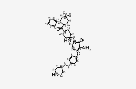 Nc1c(Oc2ccc(CCC3CCNCC3)cc2)ncn(CC2(O)CCN(C(=O)[C@@H]3CCC(F)(F)C[C@H]3c3ccccc3)CC2)c1=O